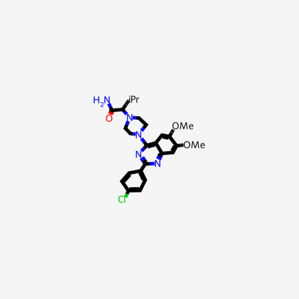 COc1cc2nc(-c3ccc(Cl)cc3)nc(N3CCN(C(C(N)=O)C(C)C)CC3)c2cc1OC